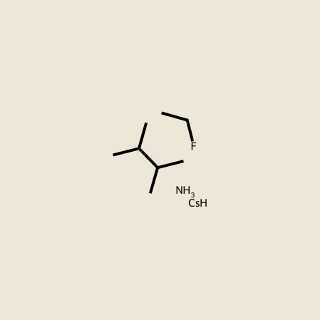 CC(C)C(C)C.CCF.N.[CsH]